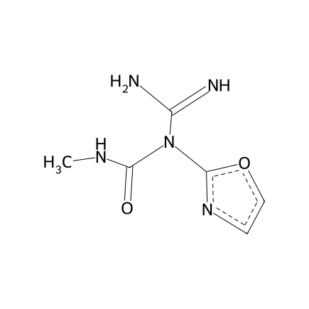 CNC(=O)N(C(=N)N)c1ncco1